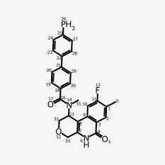 Cc1cc2c(=O)[nH]c3c(c2cc1F)C(N(C)C(=O)c1ccc(-c2ccc(P)cc2)cc1)COC3